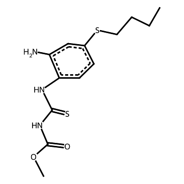 CCCCSc1ccc(NC(=S)NC(=O)OC)c(N)c1